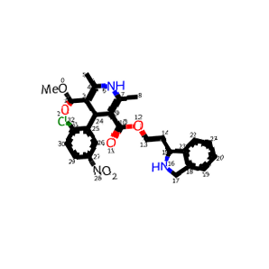 COC(=O)C1=C(C)NC(C)=C(C(=O)OCCC2NCc3ccccc32)C1c1cc([N+](=O)[O-])ccc1Cl